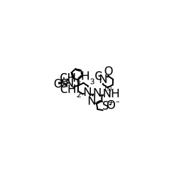 C=S(C)(=O)N1CC2(CCN(c3nc4c(c(N[C@H]5CCC(=O)N(C)C5)n3)[S+]([O-])CC4)CC2)c2ccccc21